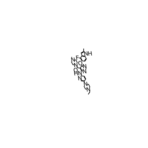 CCN1CCN(c2ccc(Nc3ncnc(Oc4ccc5[nH]c(C)cc5c4F)c3C(=O)N3CCN(C)CC3)nc2)CC1